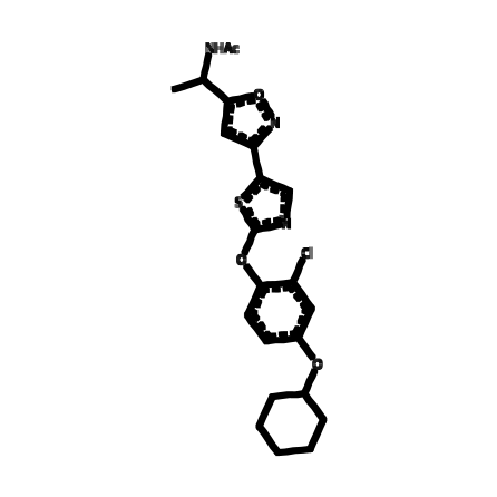 CC(=O)NC(C)c1cc(-c2cnc(Oc3ccc(OC4CCCCC4)cc3Cl)s2)no1